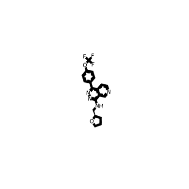 FC(F)(F)Oc1ccc(-c2nnc(NC[C@H]3CCCO3)c3cnccc23)cc1